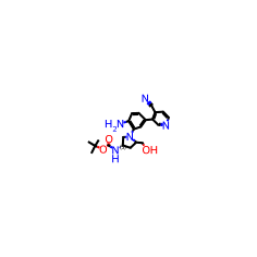 CC(C)(C)OC(=O)N[C@H]1CC(CO)N(c2cc(-c3cnccc3C#N)ccc2N)C1